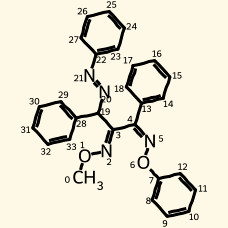 CON=C(C(=NOc1ccccc1)c1ccccc1)C(N=Nc1ccccc1)c1ccccc1